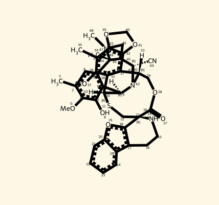 COc1c(C)cc2c(c1O)[C@@H]1[C@@H]3SC[C@]4(NCCc5c4oc4ccccc54)C(=O)OC[C@@H](c4c5c(c(C)c(OC(C)=O)c43)OCO5)N1[C@@H](C#N)C1CN(C)[C@@]21C